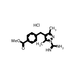 COC(=O)c1ccc(Cc2c(C)nn(C(=N)N)c2C)cc1.Cl